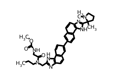 CCCN(Cc1nc2ccc3cc(-c4ccc5c(ccc6nc(C7(C)CCCN7C)[nH]c65)c4)ccc3c2[nH]1)C(=O)CNC(=O)OC